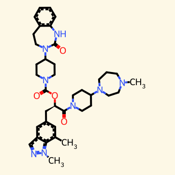 Cc1cc(C[C@@H](OC(=O)N2CCC(N3CCc4ccccc4NC3=O)CC2)C(=O)N2CCC(N3CCCN(C)CC3)CC2)cc2cnn(C)c12